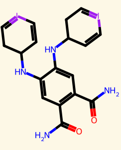 NC(=O)c1cc(NC2C=CI=CC2)c(NC2C=CI=CC2)cc1C(N)=O